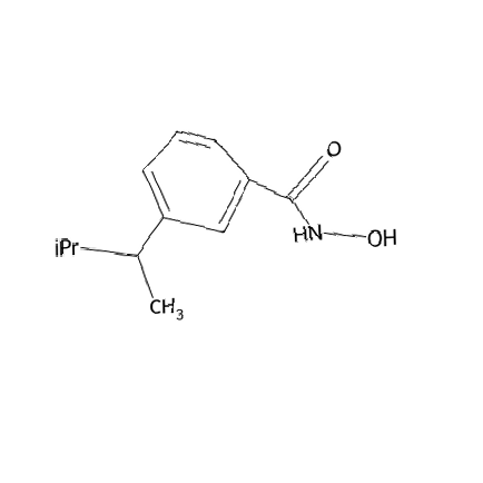 CC(C)C(C)c1cccc(C(=O)NO)c1